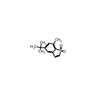 Cc1cc(C(C)(C)C)cc2c1S(=O)(=O)C=C2